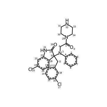 O=C(CN(c1ccccc1)C1(Cc2cccc(Cl)c2)C(=O)Nc2cc(Cl)ccc21)N1CCNCC1